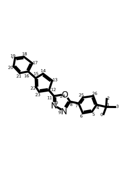 CC(C)(C)c1ccc(-c2nnc(-c3ccc(-c4cc[c]cc4)cc3)o2)cc1